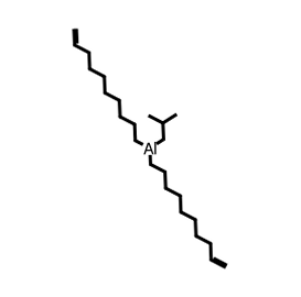 C=CCCCCCCC[CH2][Al]([CH2]CCCCCCCC=C)[CH2]C(C)C